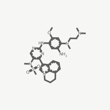 COc1cc(N(C)CCN(C)C)c(N)cc1Nc1ncc(N(C)S(C)(=O)=O)c(-c2cn3c4c(cccc24)CCC3)n1